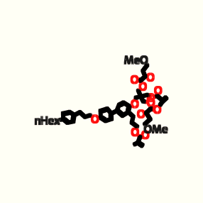 C=C(C)C(=O)OCCCc1cc(-c2ccc(OCCCc3ccc(CCCCCC)cc3)cc2)ccc1OCC(COC(=O)C(=C)C)(COC(=O)C(=O)CCOC)COC(=O)C(=O)CCOC